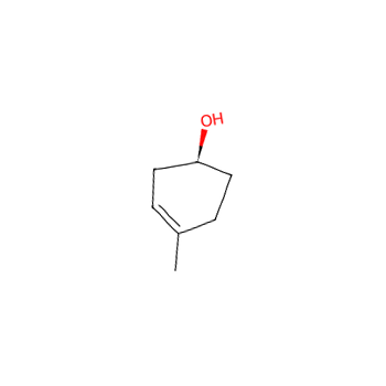 CC1=CC[C@@H](O)CC1